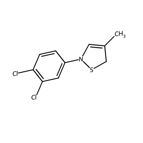 CC1=CN(c2ccc(Cl)c(Cl)c2)SC1